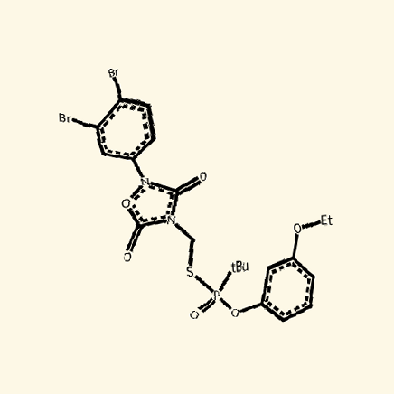 CCOc1cccc(OP(=O)(SCn2c(=O)on(-c3ccc(Br)c(Br)c3)c2=O)C(C)(C)C)c1